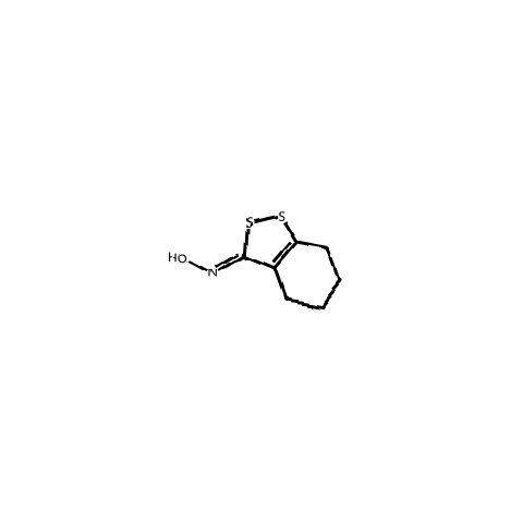 ON=c1ssc2c1CCCC2